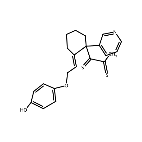 CC(=S)C(=S)C1(c2cccnc2)CCCCC1=CCOc1ccc(O)cc1